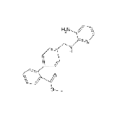 COC(=O)c1ccccc1-c1ccc(CNc2ncccc2N)cc1